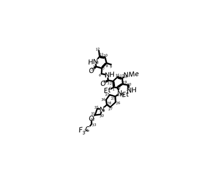 CCc1c(C(=O)NCc2c(C)cc(C)[nH]c2=O)cc(NC)c(C=N)c1N(CC)C1CCC(N2CC(OCC(F)(F)F)C2)CC1